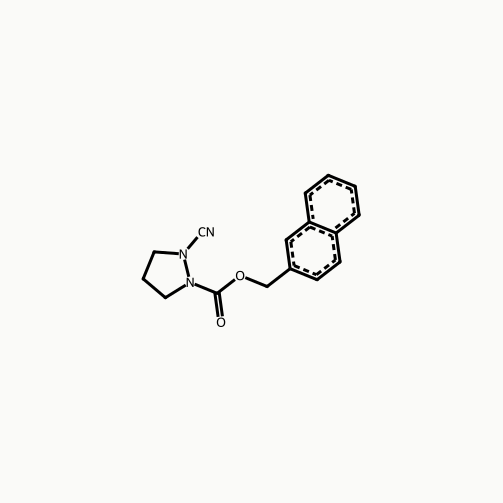 N#CN1CCCN1C(=O)OCc1ccc2ccccc2c1